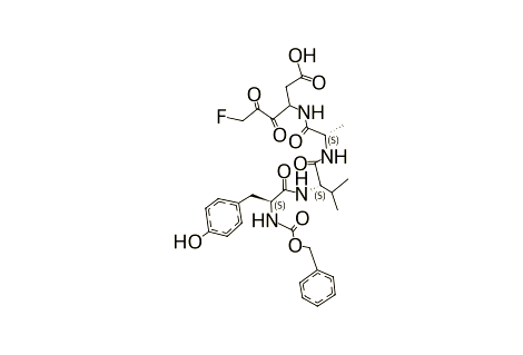 CC(C)[C@H](NC(=O)[C@H](Cc1ccc(O)cc1)NC(=O)OCc1ccccc1)C(=O)N[C@@H](C)C(=O)NC(CC(=O)O)C(=O)C(=O)CF